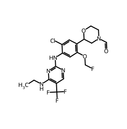 CCNc1nc(Nc2cc(OCF)c(C3CN(C=O)CCO3)cc2Cl)ncc1C(F)(F)F